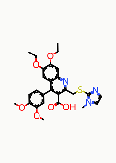 CCOc1cc2nc(CSc3nccn3C)c(C(=O)O)c(-c3ccc(OC)c(OC)c3)c2cc1OCC